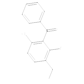 O=C(c1ccccc1)c1c(Cl)ccc(CBr)c1F